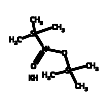 C[Si](C)(C)O[N+](=O)[Si](C)(C)C.[KH]